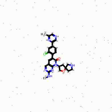 CCNc1ncc2cc(-c3ccc(-c4cncc(C)n4)cc3Cl)c(=O)n(C3COC4(CCNC4)C3)c2n1